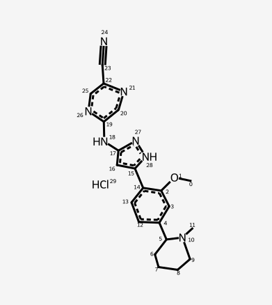 COc1cc(C2CCCCN2C)ccc1-c1cc(Nc2cnc(C#N)cn2)n[nH]1.Cl